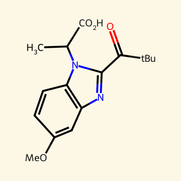 COc1ccc2c(c1)nc(C(=O)C(C)(C)C)n2C(C)C(=O)O